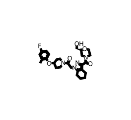 Cc1cc(F)ccc1OC1CCN(C(=O)Cn2nc(C(=O)N3CCO[C@H](CO)C3)c3c2CCCC3)CC1